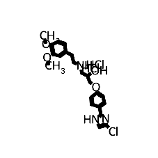 COc1ccc(CCNCC(O)COc2ccc(-c3nc(Cl)c[nH]3)cc2)cc1OC.Cl.Cl